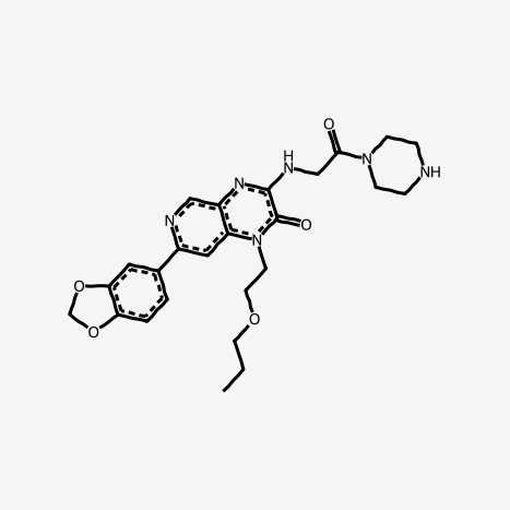 CCCOCCn1c(=O)c(NCC(=O)N2CCNCC2)nc2cnc(-c3ccc4c(c3)OCO4)cc21